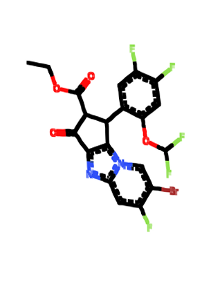 CCOC(=O)C1C(=O)c2nc3cc(F)c(Br)cn3c2C1c1cc(F)c(F)cc1OC(F)F